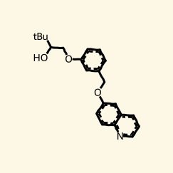 CC(C)(C)C(O)COc1cccc(COc2ccc3ncccc3c2)c1